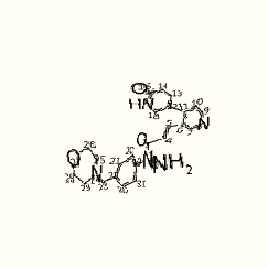 NN(C(=O)/C=C/c1cnccc1-c1ccc(=O)[nH]c1)c1ccc(CN2CCOCC2)cc1